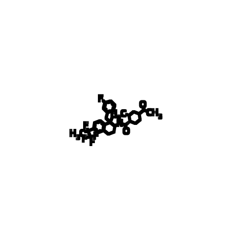 CC(=O)C1CC[C@@H](C(=O)N2CCC3(Cc4cccc(F)c4)c4ccc(C(C)(F)C(F)(F)F)cc4CCC23)[C@@H](C)C1